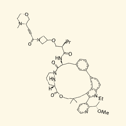 CCn1c(-c2cccnc2[C@H](C)OC)c2c3cc(ccc31)-c1cccc(c1)C[C@H](NC(=O)[C@@H](COC1CN(C(=O)C#CC3COCCN3C)C1)C(C)C)C(=O)N1CCC[C@H](N1)C(=O)OCC(C)(C)C2